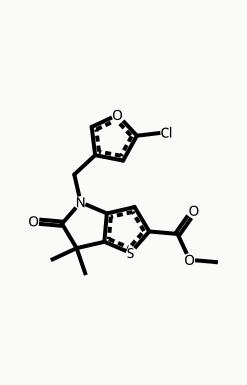 COC(=O)c1cc2c(s1)C(C)(C)C(=O)N2Cc1coc(Cl)c1